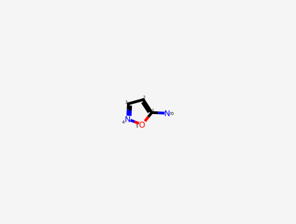 [N]c1ccno1